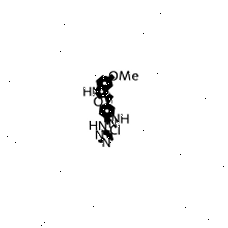 COc1ccc2c(c1)[C@]1(C[C@H]1c1ccc3c(Nc4ncncc4Cl)n[nH]c3c1)C(=O)N2